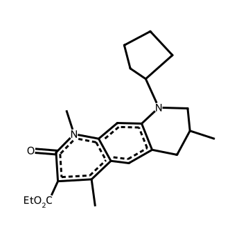 CCOC(=O)c1c(C)c2cc3c(cc2n(C)c1=O)N(C1CCCC1)CC(C)C3